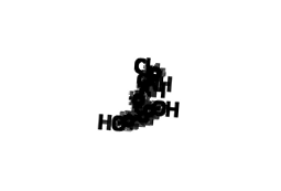 Cc1c(Cl)cccc1NC(=O)NCc1ccc(Cc2c(-c3ccc(O)cc3)ccc3cc(O)ccc23)cc1